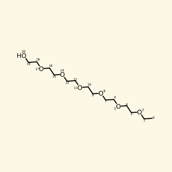 CCOCCOCCOCCOCCOCCOCCO